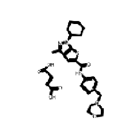 Cc1nn(C2CCCCC2)c2sc(C(=O)Nc3ccc(CN4CCOCC4)cc3)cc12.O=C(O)/C=C/C(=O)O